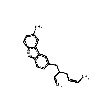 C=CC(C/C=C\C)Cc1ccc2sc3ccc(N)cc3c2c1